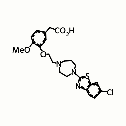 COc1ccc(CC(=O)O)cc1OCCN1CCCN(c2nc3ccc(Cl)cc3s2)CC1